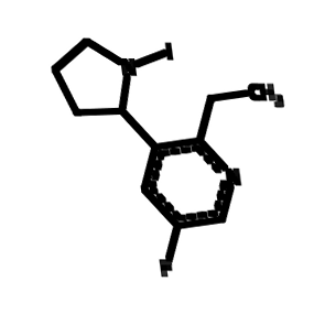 CCc1ncc(F)cc1C1CCCN1I